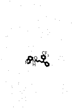 O=C(/C=C/C=C(/c1ccccc1)c1ccc(C(F)(F)F)cc1)Nc1cccc2cnccc12